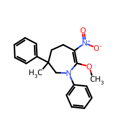 COC1=C([N+](=O)[O-])CCC(C)(c2ccccc2)CN1c1ccccc1